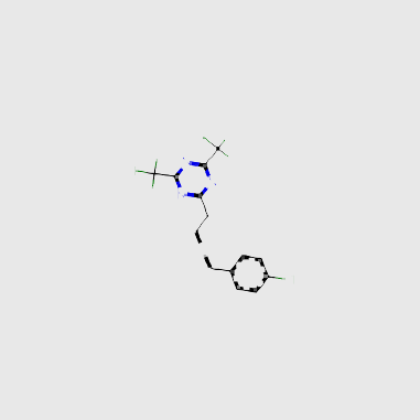 Clc1ccc(C=C=CCc2nc(C(Cl)(Cl)Cl)nc(C(Cl)(Cl)Cl)n2)cc1